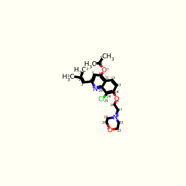 CC(C)=Cc1cc(OC(C)C)c2ccc(OCCN3CCOCC3)c(Cl)c2n1